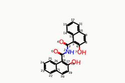 O=C(NC(=O)c1c(O)ccc2ccccc12)c1c(O)ccc2ccccc12